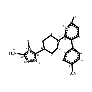 Cc1ccc(-c2ccc(C#N)cc2)c(N2CCC(c3nnc(N)n3C)CC2)n1